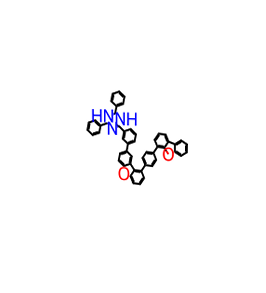 c1ccc(C2N=C(c3cccc(-c4ccc5oc6cccc(-c7ccc(-c8cccc9c8oc8ccccc89)cc7)c6c5c4)c3)NC(c3ccccc3)N2)cc1